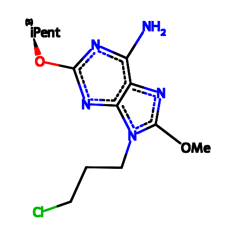 CCC[C@H](C)Oc1nc(N)c2nc(OC)n(CCCCl)c2n1